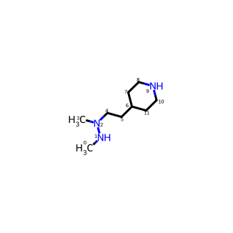 CNN(C)CCC1CCNCC1